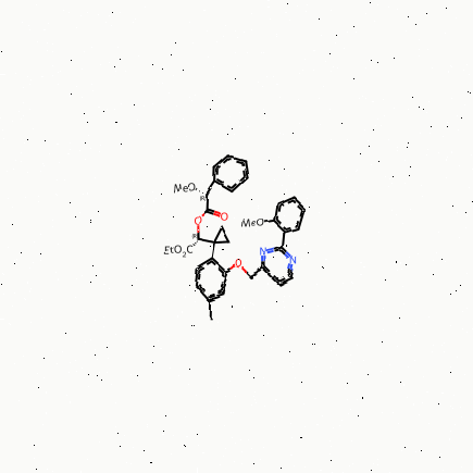 CCOC(=O)[C@H](OC(=O)[C@H](OC)c1ccccc1)C1(c2ccc(C)cc2OCc2ccnc(-c3ccccc3OC)n2)CC1